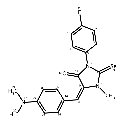 CN1C(=[Se])N(c2ccc(F)cc2)C(=O)C1=Cc1ccc(N(C)C)cc1